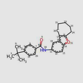 CC(C)(C)c1ccc(C(=O)Nc2ccc3oc4c(c3c2)CCCCC4)cc1